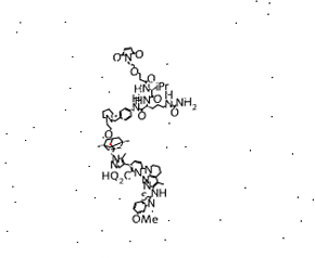 COc1ccc2sc(Nc3nnc4c(c3C)CCCN4c3ccc(-c4cnn(CC56CC7(OCC[N+]8(Cc9ccc(NC(=O)[C@H](CCCNC(N)=O)NC(=O)[C@@H](NC(=O)CCOCCN%10C(=O)C=CC%10=O)C(C)C)cc9)CCCC8)C[C@](C)(C5)C[C@](C)(C6)C7)c4C)c(C(=O)O)n3)nc2c1